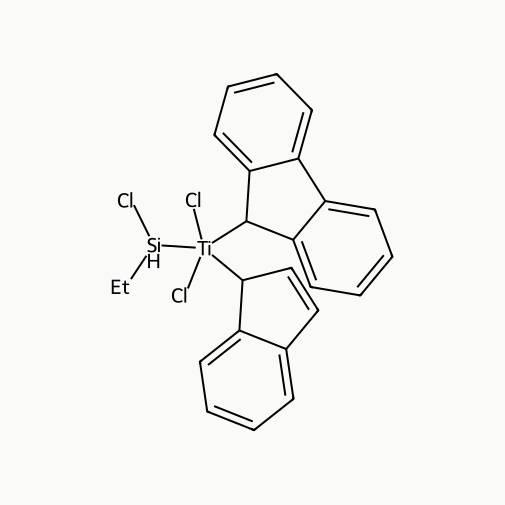 CC[SiH](Cl)[Ti]([Cl])([Cl])([CH]1C=Cc2ccccc21)[CH]1c2ccccc2-c2ccccc21